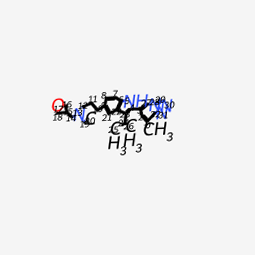 Cc1cc(-c2[nH]c3ccc(C4CCN(CC5COC5)CC4)cc3c2C(C)C)cn2cnnc12